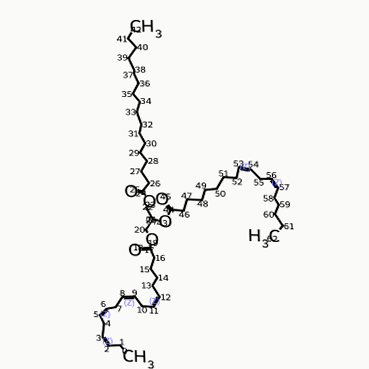 CC/C=C\C/C=C\C/C=C\C/C=C\CCCCC(=O)OC[C@@H](COC(=O)CCCCCCCCCCCCCCCCC)OC(=O)CCCCCCC/C=C\C/C=C\CCCCC